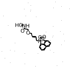 O=C(COC/C=C/CN1c2cccc3cccc(c23)S1(=O)=O)NO